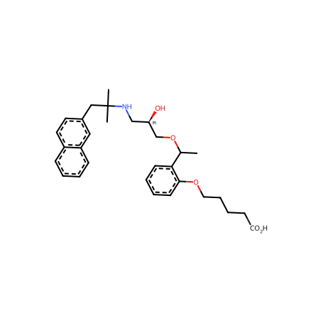 CC(OC[C@H](O)CNC(C)(C)Cc1ccc2ccccc2c1)c1ccccc1OCCCCC(=O)O